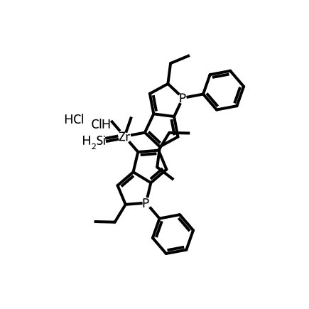 CCC1=[C]([Zr]([CH3])([CH3])(=[SiH2])[C]2=C(CC)C=C3C2=CC(CC)P3c2ccccc2)C2=CC(CC)P(c3ccccc3)C2=C1.Cl.Cl